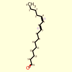 CCCC/C=C\C=C\CCCCCCCC=O